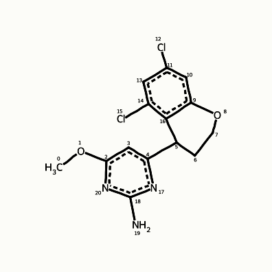 COc1cc(C2CCOc3cc(Cl)cc(Cl)c32)nc(N)n1